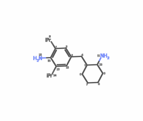 CC(C)c1cc(CC2CCCCC2N)cc(C(C)C)c1N